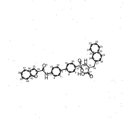 O=C(Nc1ccc(-c2ccc(S(=O)(=O)N[C@@H](Cc3ccc4ccccc4c3)C(=O)O)cc2)cc1)c1cc2ccccc2o1